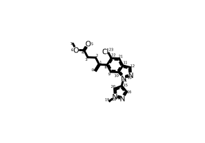 C=C(CCC(=O)OC)c1cc2c(cnn2-c2cnn(C)c2)cc1Cl